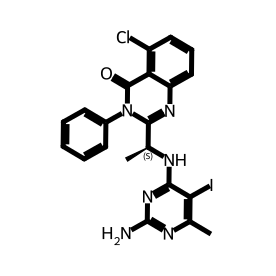 Cc1nc(N)nc(N[C@@H](C)c2nc3cccc(Cl)c3c(=O)n2-c2ccccc2)c1I